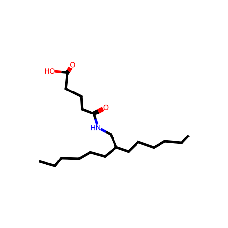 CCCCCCC(CCCCCC)CNC(=O)CCCC(=O)O